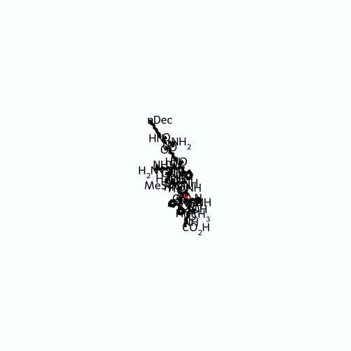 CCCCCCCCCCCCCCCCNC(=O)CN(CC(N)=O)C(=O)CCCCCNC(=O)C(Cc1c[nH]c2ccccc12)NC(=O)C(CCCNC(N)N)NC(=O)C(CSSC)NC(=O)C(CCCNC(=N)N)NC(=O)CC1CCCN1C(=O)C(NC(=O)C(Cc1c[nH]cn1)NC(=O)C(NC(=O)CNCC(=O)O)C(C)O)C(c1ccccc1)c1ccccc1